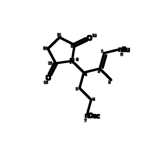 CCCCC=C(C)C(CCCCCCCCCCCC)N1C(=O)CCC1=O